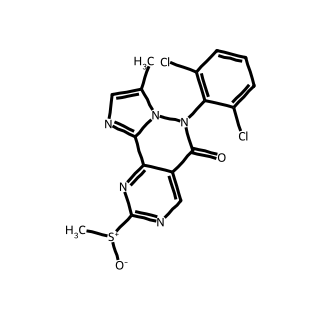 Cc1cnc2c3nc([S+](C)[O-])ncc3c(=O)n(-c3c(Cl)cccc3Cl)n12